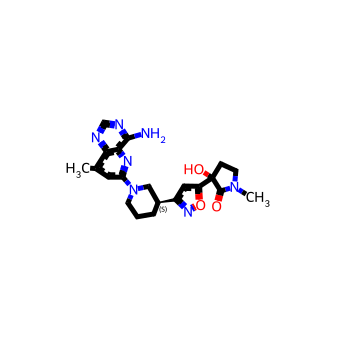 Cc1cc(N2CCC[C@H](c3cc(C4(O)CCN(C)C4=O)on3)C2)nc2c(N)ncnc12